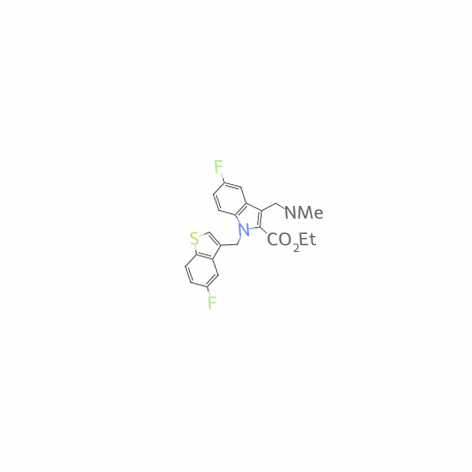 CCOC(=O)c1c(CNC)c2cc(F)ccc2n1Cc1csc2ccc(F)cc12